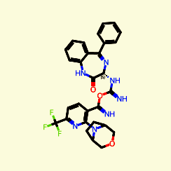 N=C(N[C@H]1N=C(c2ccccc2)c2ccccc2NC1=O)OC(=N)c1ccc(C(F)(F)F)nc1N1C2CCC1COC2